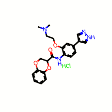 CN(C)CCOc1cc(-c2cn[nH]c2)ccc1NC(=O)C1COc2ccccc2O1.Cl